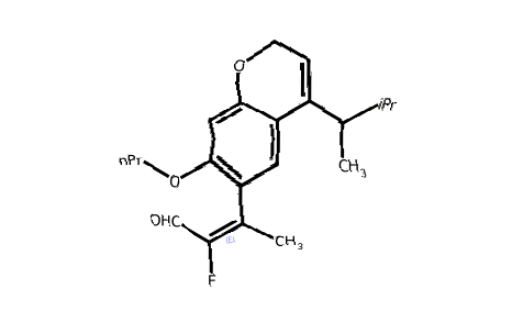 CCCOc1cc2c(cc1/C(C)=C(/F)C=O)C(C(C)C(C)C)=CCO2